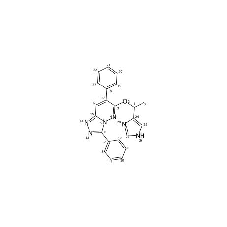 CC(Oc1nn2c(-c3ccccc3)nnc2cc1-c1ccccc1)c1c[nH]cn1